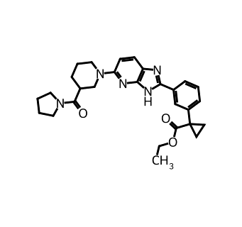 CCOC(=O)C1(c2cccc(-c3nc4ccc(N5CCCC(C(=O)N6CCCC6)C5)nc4[nH]3)c2)CC1